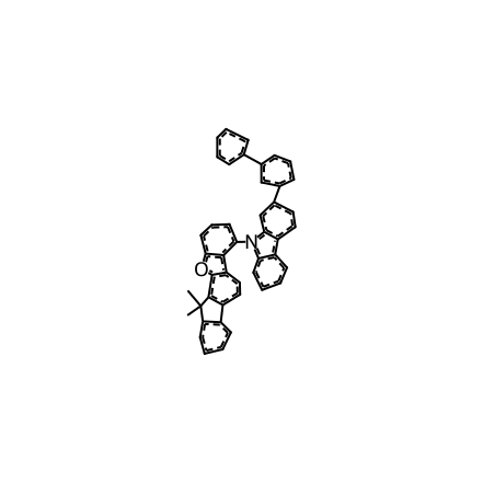 CC1(C)c2ccccc2-c2ccc3c(oc4cccc(-n5c6ccccc6c6ccc(-c7cccc(-c8ccccc8)c7)cc65)c43)c21